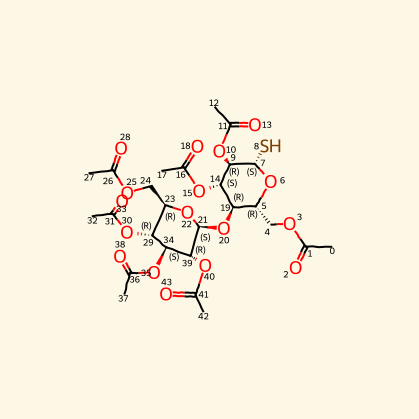 CC(=O)OC[C@H]1O[C@@H](S)[C@H](OC(C)=O)[C@@H](OC(C)=O)[C@@H]1O[C@@H]1O[C@H](COC(C)=O)[C@@H](OC(C)=O)[C@H](OC(C)=O)[C@H]1OC(C)=O